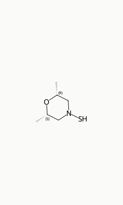 C[C@@H]1CN(S)C[C@H](C)O1